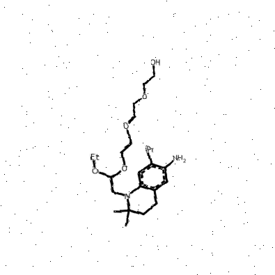 CCOC(CN1c2cc(C(C)C)c(N)cc2CCC1(C)C)OCCOCCOCCO